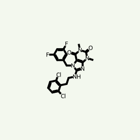 Cn1c(=O)c2c(nc(NCCc3c(Cl)cccc3Cl)n2Cc2cc(F)cc(F)c2)n(C)c1=O